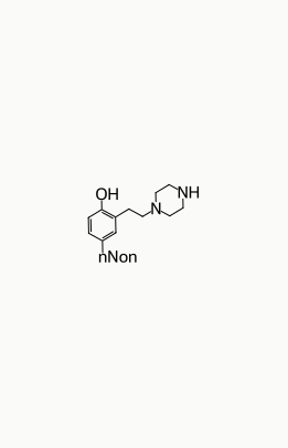 CCCCCCCCCc1ccc(O)c(CCN2CCNCC2)c1